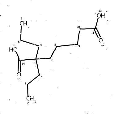 CCCC(CCC)(CCCCC(=O)O)C(=O)O